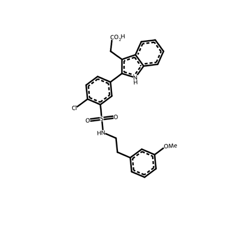 COc1cccc(CCNS(=O)(=O)c2cc(-c3[nH]c4ccccc4c3CC(=O)O)ccc2Cl)c1